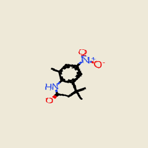 Cc1cc([N+](=O)[O-])cc2c1NC(=O)CC2(C)C